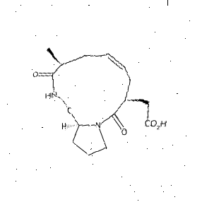 C[C@H]1CC=CC[C@@H](CC(=O)O)C(=O)N2CCC[C@H]2CNC1=O